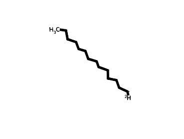 [2H][CH]CCCCCCCCCCCCC